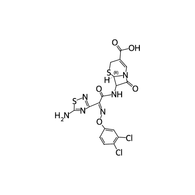 Nc1nc(C(=NOc2ccc(Cl)c(Cl)c2)C(=O)NC2C(=O)N3C=C(C(=O)O)CS[C@H]23)ns1